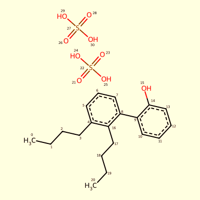 CCCCc1cccc(-c2ccccc2O)c1CCCC.O=S(=O)(O)O.O=S(=O)(O)O